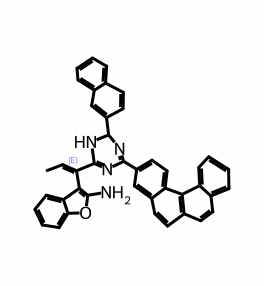 C/C=C(/C1=NC(c2ccc3c(ccc4ccc5ccccc5c43)c2)=NC(c2ccc3ccccc3c2)N1)c1c(N)oc2ccccc12